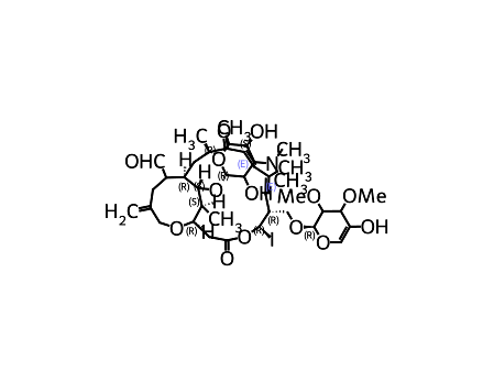 C=C1CO[C@@H]2CC(=O)O[C@H](I)[C@@H](CO[C@@H]3OC=C(O)C(OC)C3OC)/C=C(C)/C=C/C(=O)[C@H](C)C[C@H](C(C=O)C1)[C@H](O[C@@H]1OC(C)[C@@H](O)C(N(C)C)C1O)[C@H]2C